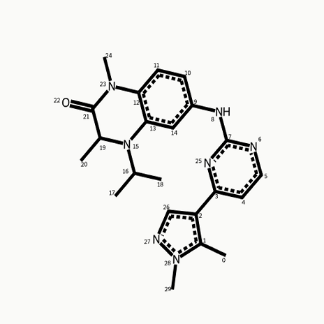 Cc1c(-c2ccnc(Nc3ccc4c(c3)N(C(C)C)C(C)C(=O)N4C)n2)cnn1C